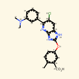 Cc1ccc(Oc2nc3nc(-c4cccc(N(C)C)c4)c(Cl)cc3[nH]2)cc1C(=O)O